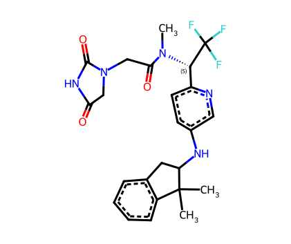 CN(C(=O)CN1CC(=O)NC1=O)[C@@H](c1ccc(NC2Cc3ccccc3C2(C)C)cn1)C(F)(F)F